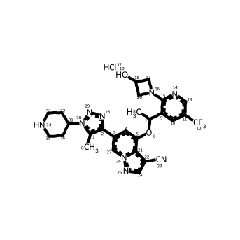 Cc1c(-c2cc(OC(C)c3cc(C(F)(F)F)cnc3N3CC(O)C3)c3c(C#N)cnn3c2)nnn1C1CCNCC1.Cl